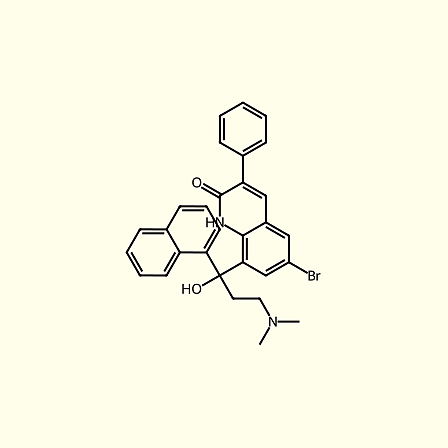 CN(C)CCC(O)(c1cccc2ccccc12)c1cc(Br)cc2cc(-c3ccccc3)c(=O)[nH]c12